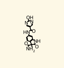 CC1(C(N)=O)C(=O)Nc2cc(NC(=O)c3cnc(O)nc3)ccc21